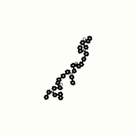 c1ccc(-c2ccc(N(c3cccc(-c4ccc(-c5ccc6ccc7c(oc8cccc(-c9cccc(N(c%10cccc(-c%11ccccc%11)c%10)c%10cccc(-c%11cccc%12ccccc%11%12)c%10)c9)c87)c6c5)cc4)c3)c3cccc(-c4cccc5oc6c7cc(-c8ccc(-c9cccc(N(c%10cccc(-c%11cccc%12oc%13c%14ccccc%14ccc%13c%11%12)c%10)c%10cccc%11ccccc%10%11)c9)cc8)ccc7ccc6c45)c3)cc2)cc1